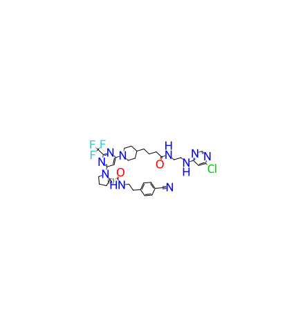 N#Cc1ccc(CCNC(=O)[C@@H]2CCCN2c2cc(N3CCC(CCCC(=O)NCCNc4cc(Cl)ncn4)CC3)nc(C(F)(F)F)n2)cc1